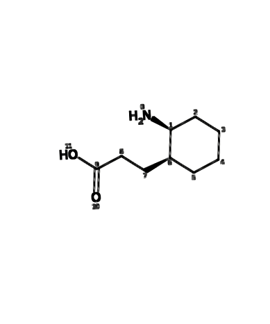 N[C@H]1CCCC[C@H]1CCC(=O)O